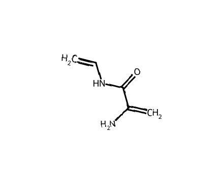 C=CNC(=O)C(=C)N